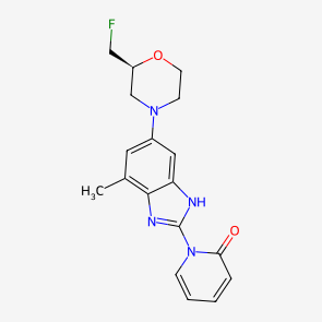 Cc1cc(N2CCO[C@H](CF)C2)cc2[nH]c(-n3ccccc3=O)nc12